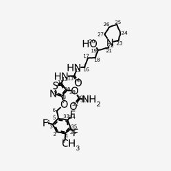 Cc1cc(F)c(COc2nsc(NC(=O)NCCCC(O)CN3CCCCC3)c2OC(N)=O)c(F)c1F